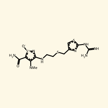 CNc1c(NCCSCc2csc(NC(=N)N)n2)n[s+]([O-])c1C(N)=O